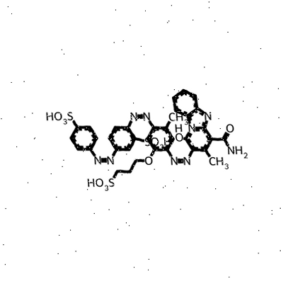 Cc1cc(/N=N\c2c(C)c(C(N)=O)c3nc4ccccc4n3c2O)c(OCCCS(=O)(=O)O)cc1/N=N\c1ccc(/N=N\c2ccc(S(=O)(=O)O)cc2)cc1S(=O)(=O)O